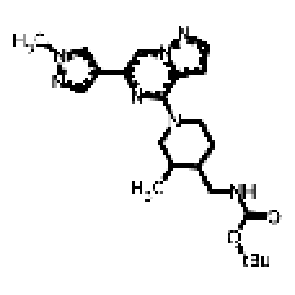 CC1CN(c2nc(-c3cnn(C)c3)cn3nccc23)CCC1CNC(=O)OC(C)(C)C